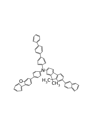 CC1(C)c2cc(-c3ccc4ccccc4c3)ccc2-c2ccc(N(c3ccc(-c4ccc(-c5ccccc5)cc4)cc3)c3ccc(-c4ccc5c(c4)oc4ccccc45)cc3)cc21